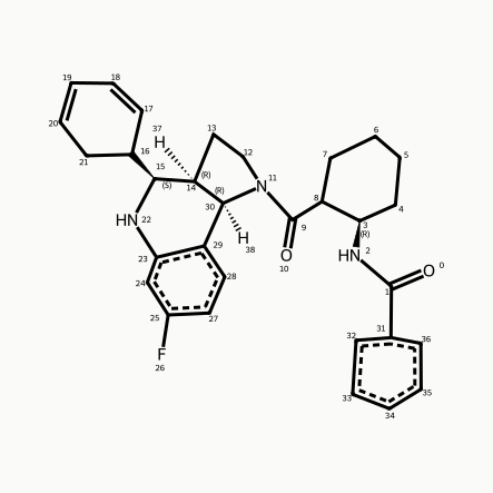 O=C(N[C@@H]1CCCCC1C(=O)N1CC[C@@H]2[C@H](C3C=CC=CC3)Nc3cc(F)ccc3[C@@H]21)c1ccccc1